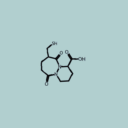 O=C(O)C1CCCN2C(=O)CCC(CS)C(=O)N12